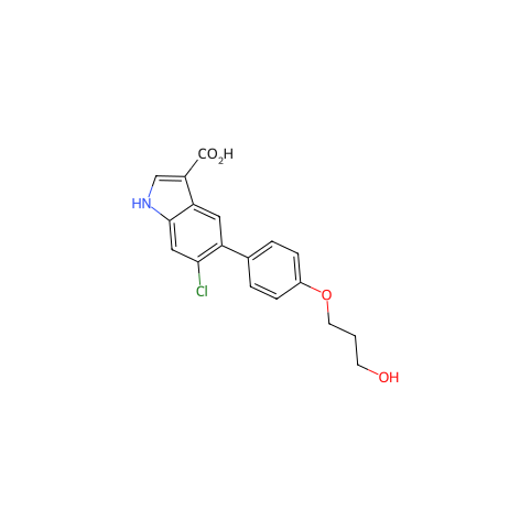 O=C(O)c1c[nH]c2cc(Cl)c(-c3ccc(OCCCO)cc3)cc12